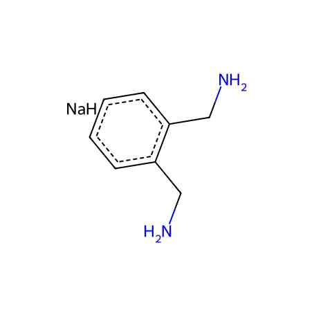 NCc1ccccc1CN.[NaH]